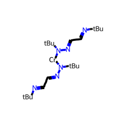 CC(C)(C)N=CC=N[N]([Cr][N](N=CC=NC(C)(C)C)C(C)(C)C)C(C)(C)C